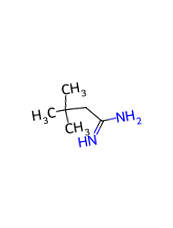 CC(C)(C)CC(=N)N